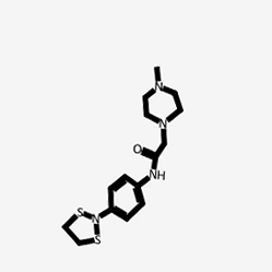 CN1CCN(CC(=O)Nc2ccc(N3SCCS3)cc2)CC1